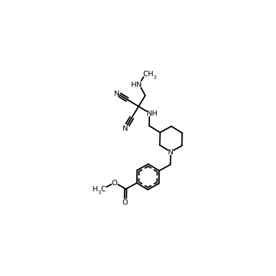 CNCC(C#N)(C#N)NCC1CCCN(Cc2ccc(C(=O)OC)cc2)C1